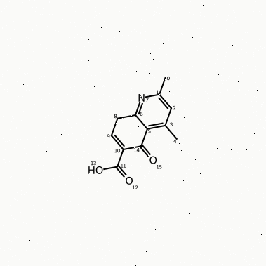 Cc1cc(C)c2c(n1)CC=C(C(=O)O)C2=O